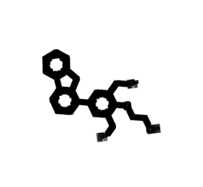 CC(C)Cc1cc(-c2cccc3c2Cc2ccccc2-3)cc(CC(C)C)c1OCCO